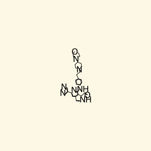 O=CC1NC=Cc2cc(-c3cncnc3)nc(Nc3ccc(CCN4CCC(N5CCOCC5)CC4)cc3)c21